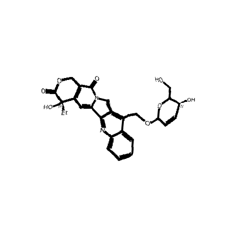 CC[C@@]1(O)C(=O)OCc2c1cc1n(c2=O)Cc2c-1nc1ccccc1c2COC1C=C[C@H](O)C(CO)O1